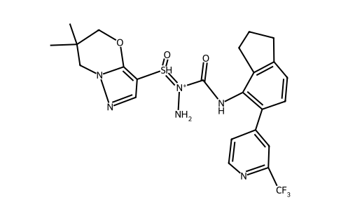 CC1(C)COc2c([SH](=O)=[N+](N)C(=O)Nc3c(-c4ccnc(C(F)(F)F)c4)ccc4c3CCC4)cnn2C1